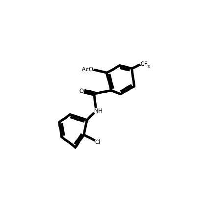 CC(=O)Oc1cc(C(F)(F)F)ccc1C(=O)Nc1ccccc1Cl